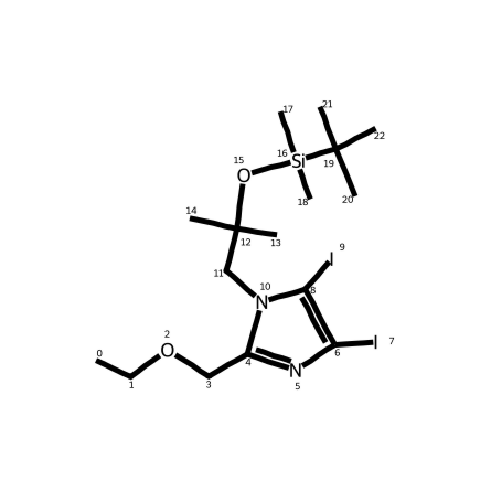 CCOCc1nc(I)c(I)n1CC(C)(C)O[Si](C)(C)C(C)(C)C